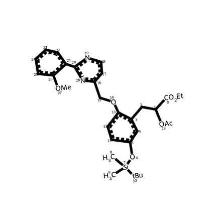 CCOC(=O)C(Cc1cc(O[Si](C)(C)C(C)(C)C)ccc1OCc1ccnc(-c2ccccc2OC)n1)OC(C)=O